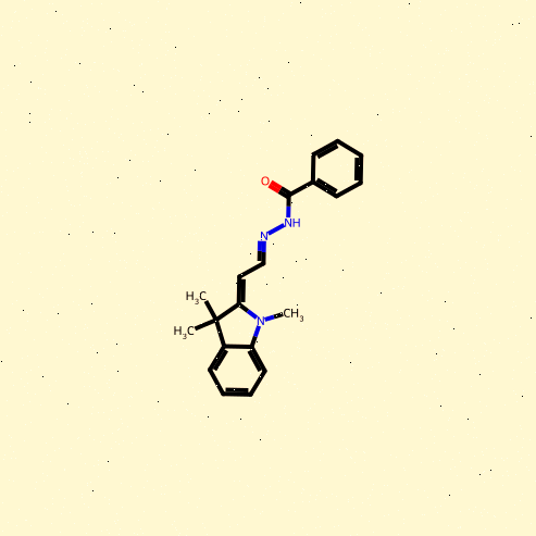 CN1/C(=C\C=N\NC(=O)c2ccccc2)C(C)(C)c2ccccc21